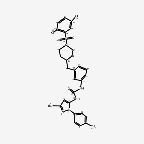 Cc1ccc(-n2nc(C(C)(C)C)cc2NC(=O)Nc2cccc(CC3CCN(S(=O)(=O)c4cc(Cl)ccc4Cl)CC3)c2)cc1